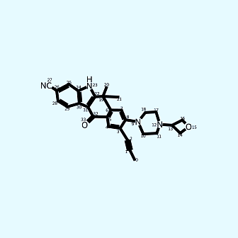 CC#Cc1cc2c(cc1N1CCN(C3COC3)CC1)C(C)(C)c1[nH]c3cc(C#N)ccc3c1C2=O